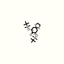 CC(C)(C)[Si](C)(C)O[C@@H]1CC2(C[C@@H](O[Si](C)(C)C(C)(C)C)C1=O)SCCS2